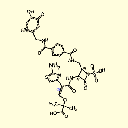 CC(C)(O/C=C(\C(=O)N[C@@H]1C(=O)N(S(=O)(=O)O)[C@@H]1CNC(=O)c1ccc(C(=O)NCc2cc(=O)c(O)c[nH]2)cc1)c1csc(N)n1)C(=O)O